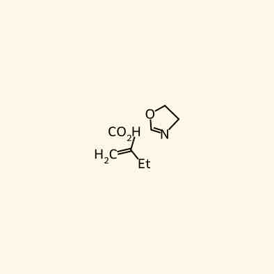 C1=NCCO1.C=C(CC)C(=O)O